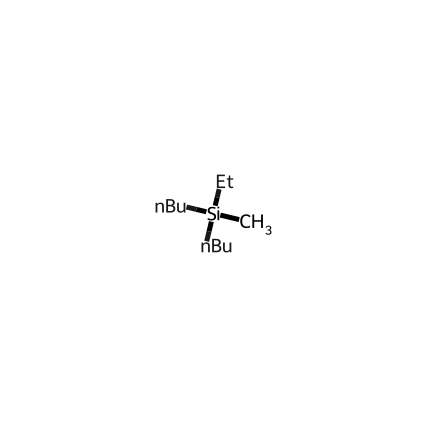 [CH2]C[Si](C)(CCCC)CCCC